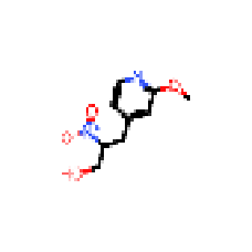 COc1cc(CC(CO)[N+](=O)[O-])ccn1